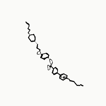 CCCCCC12CCC(c3ccc(C(=O)Oc4ccc(OCCC[C@H]5CC[C@H](CCCCC)CC5)cc4)cc3)(CC1)CC2